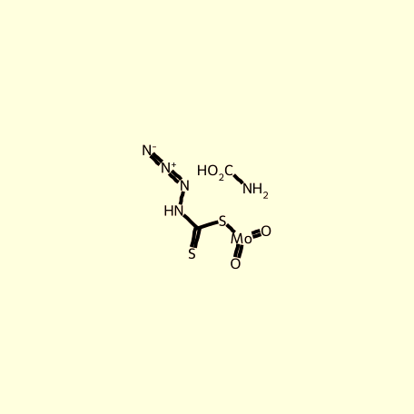 NC(=O)O.[N-]=[N+]=NNC(=S)[S][Mo](=[O])=[O]